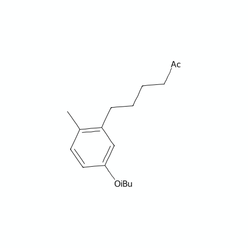 CC(=O)CCCCc1cc(OCC(C)C)ccc1C